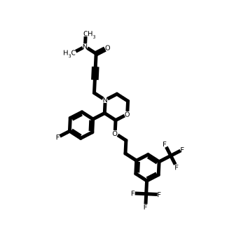 CN(C)C(=O)C#CCN1CCOC(OCCc2cc(C(F)(F)F)cc(C(F)(F)F)c2)C1c1ccc(F)cc1